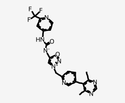 Cc1ncnc(C)c1-c1ccc(C[n+]2cc([N-]C(=O)Nc3ccnc(C(F)(F)F)c3)on2)nc1